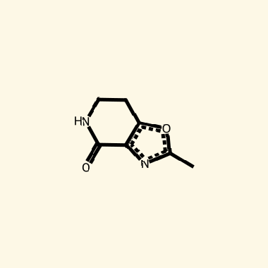 Cc1nc2c(o1)CCNC2=O